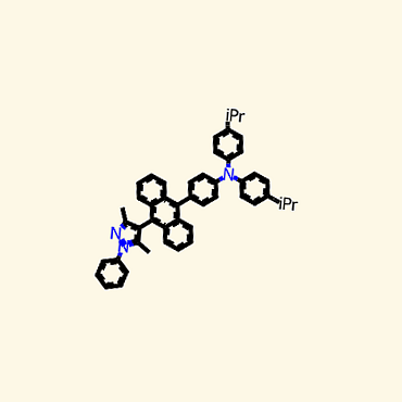 Cc1nn(-c2ccccc2)c(C)c1-c1c2ccccc2c(-c2ccc(N(c3ccc(C(C)C)cc3)c3ccc(C(C)C)cc3)cc2)c2ccccc12